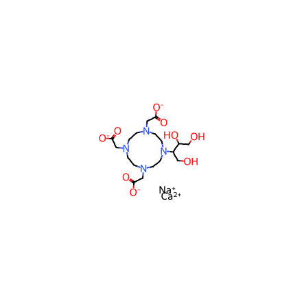 O=C([O-])CN1CCN(CC(=O)[O-])CCN(C(CO)C(O)CO)CCN(CC(=O)[O-])CC1.[Ca+2].[Na+]